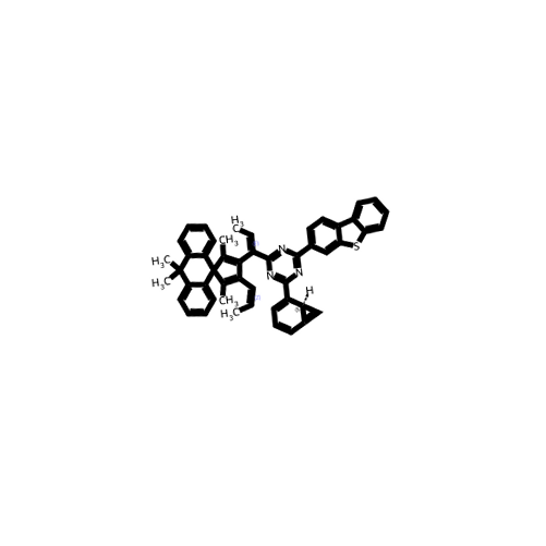 C/C=C\C1=C(C)C2(C(C)=C1/C(=C\C)c1nc(C3=CC=CC4=C[C@@H]43)nc(-c3ccc4c(c3)sc3ccccc34)n1)c1ccccc1C(C)(C)c1ccccc12